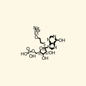 CCOCCS[C@@]1(n2cnc3c(O)ncnc32)O[C@H](COP(=O)(O)O)[C@@H](O)[C@H]1O.[Na].[Na]